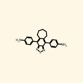 Nc1ccc(-c2c3c(c(-c4ccc(N)cc4)c4nsnc24)CCCCC3)cc1